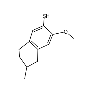 COc1cc2c(cc1S)CCC(C)C2